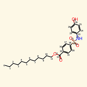 CCCCCCCCCCCCOC(=O)c1ccc(S(=O)(=O)Nc2ccc(O)cc2)cc1